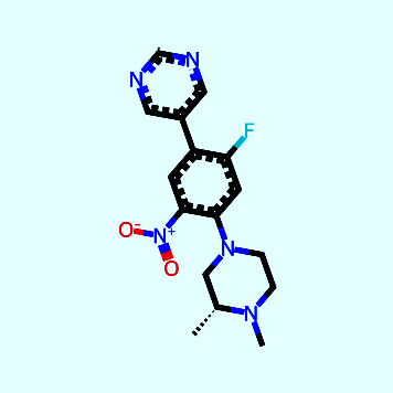 C[C@@H]1CN(c2cc(F)c(-c3cn[c]nc3)cc2[N+](=O)[O-])CCN1C